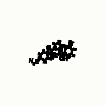 Cc1ccc(S(=O)(=O)n2ccnc2C(C)(O)c2cccc(Br)c2)cc1